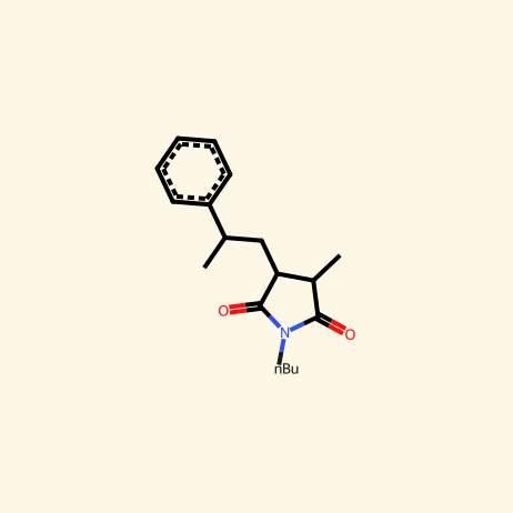 CCCCN1C(=O)C(C)C(CC(C)c2ccccc2)C1=O